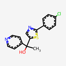 CC(O)(c1ccncc1)c1cnc(-c2ccc(Cl)cc2)s1